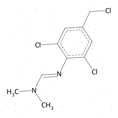 CN(C)C=Nc1c(Cl)cc(CCl)cc1Cl